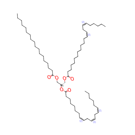 CCCCC/C=C\C/C=C\C/C=C\CCCCCCC(=O)O[C@@H](COC(=O)CCCCCCCCCCC/C=C\C/C=C\CCCCC)COC(=O)CCCCCCCCCCCCCCCCC